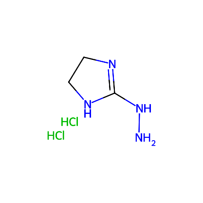 Cl.Cl.NNC1=NCCN1